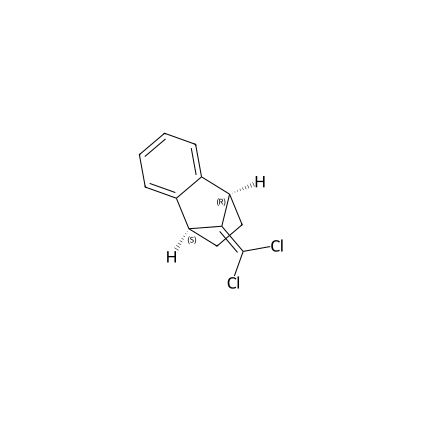 ClC(Cl)=C1[C@H]2CC[C@@H]1c1ccccc12